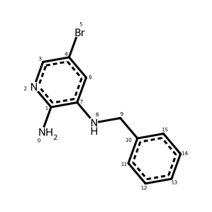 Nc1ncc(Br)cc1NCc1ccccc1